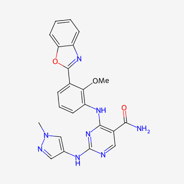 COc1c(Nc2nc(Nc3cnn(C)c3)ncc2C(N)=O)cccc1-c1nc2ccccc2o1